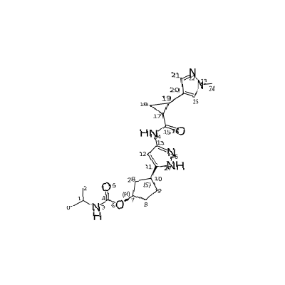 CC(C)NC(=O)O[C@@H]1CC[C@H](c2cc(NC(=O)C3CC3c3cnn(C)c3)n[nH]2)C1